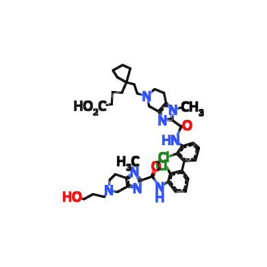 Cn1c(C(=O)Nc2cccc(-c3cccc(NC(=O)c4nc5c(n4C)CCN(CCC4(CCCC(=O)O)CCCC4)C5)c3Cl)c2Cl)nc2c1CCN(CCCO)C2